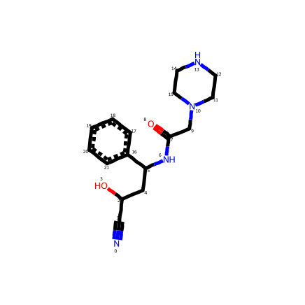 N#CC(O)CC(NC(=O)CN1CCNCC1)c1ccccc1